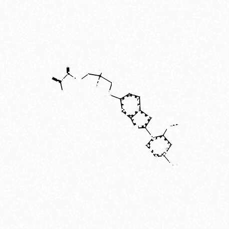 C=C(C)C(=O)OCC(C)(CSc1ccc2cc(-c3ccc(CCCCC)cc3OC(F)(F)F)oc2c1)C(F)(F)F